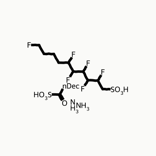 CCCCCCCCCCC(=O)S(=O)(=O)O.N.N.O=S(=O)(O)CC(F)C(F)C(F)C(F)C(F)CCCCF